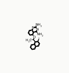 C[C@@H](Oc1cccc2nc(N)nc(N)c12)c1c(I)ccc2ccccc12